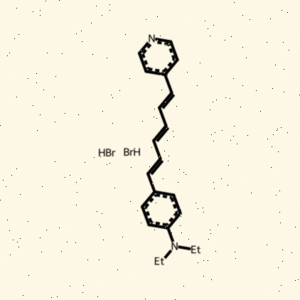 Br.Br.CCN(CC)c1ccc(C=CC=CC=Cc2ccncc2)cc1